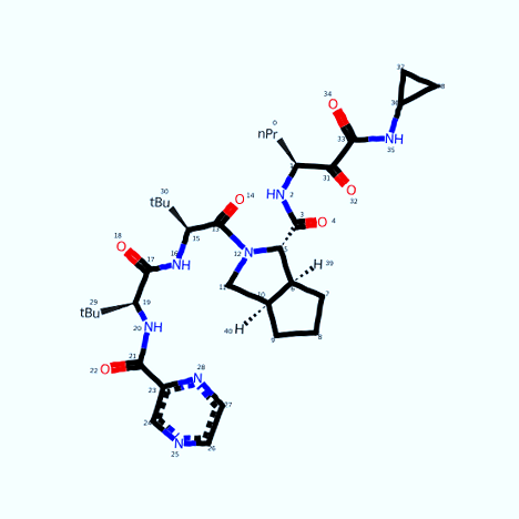 CCC[C@H](NC(=O)[C@@H]1[C@H]2CCC[C@H]2CN1C(=O)[C@@H](NC(=O)[C@@H](NC(=O)c1cnccn1)C(C)(C)C)C(C)(C)C)C(=O)C(=O)NC1CC1